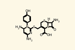 NC1=CC(N)N(c2ccc(O)cc2)C(SCC2=C(C(=O)O)N3C(=O)C(N)[C@@H]3SC2)=N1